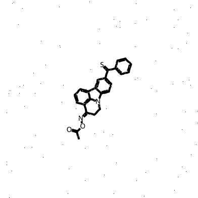 CC(=O)O/N=C1\CCn2c3ccc(C(=S)c4ccccc4)cc3c3cccc1c32